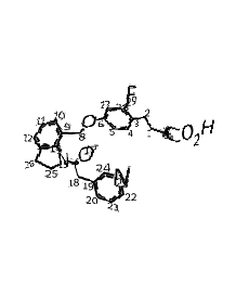 O=C(O)CCc1ccc(OCc2cccc3c2N(C(=O)Cc2cccnc2)CC3)cc1F